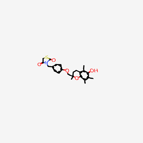 Cc1c(C)c2c(c(C)c1O)CCC(C)(COc1ccc(CN3C(=O)CSC3=O)cc1)O2